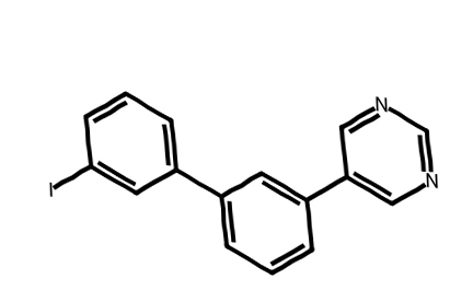 Ic1cccc(-c2cccc(-c3cncnc3)c2)c1